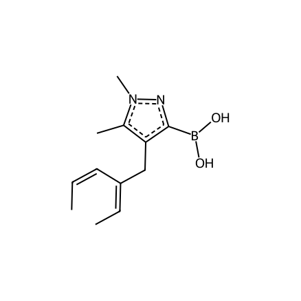 C/C=C\C(=C/C)Cc1c(B(O)O)nn(C)c1C